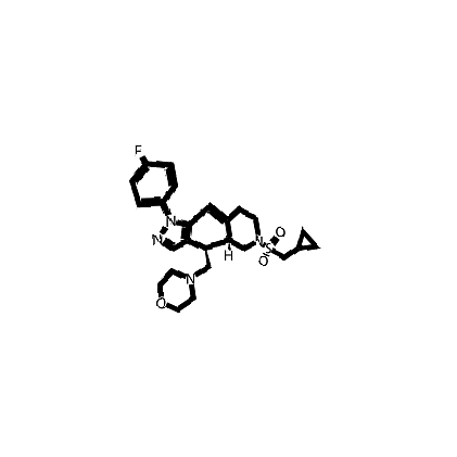 O=S(=O)(CC1CC1)N1CCC2=Cc3c(cnn3-c3ccc(F)cc3)[C@H](CN3CCOCC3)[C@@H]2C1